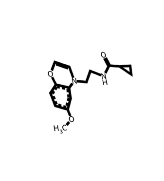 COc1ccc2c(c1)N(CCNC(=O)C1CC1)C=CO2